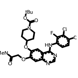 CNC(=O)COc1cc2ncnc(Nc3ccc(Cl)c(Cl)c3F)c2cc1OC1CCN(C(=O)OC(C)(C)C)CC1